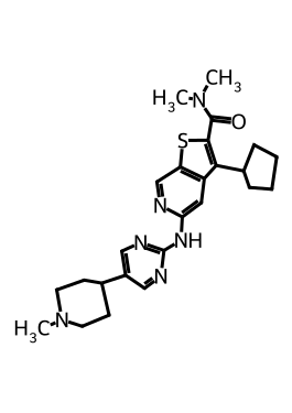 CN1CCC(c2cnc(Nc3cc4c(C5CCCC5)c(C(=O)N(C)C)sc4cn3)nc2)CC1